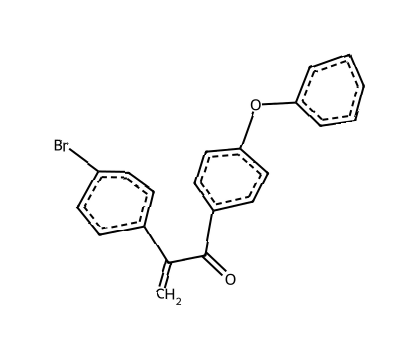 C=C(C(=O)c1ccc(Oc2ccccc2)cc1)c1ccc(Br)cc1